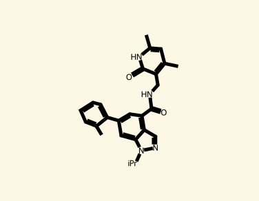 Cc1cc(C)c(CNC(=O)c2cc(-c3ccccc3C)cc3c2cnn3C(C)C)c(=O)[nH]1